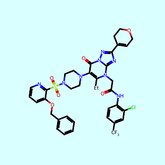 CCc1c(N2CCN(S(=O)(=O)c3ncccc3OCc3ccccc3)CC2)c(=O)n2nc(C3=CCOCC3)nc2n1CC(=O)Nc1ccc(C(F)(F)F)cc1Cl